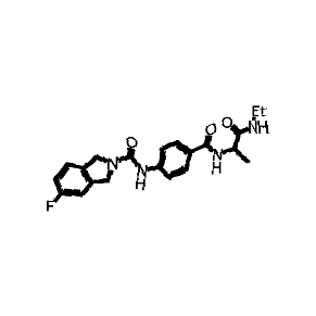 CCNC(=O)C(C)NC(=O)c1ccc(NC(=O)N2Cc3ccc(F)cc3C2)cc1